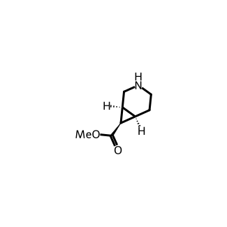 COC(=O)[C@@H]1[C@@H]2CCNC[C@@H]21